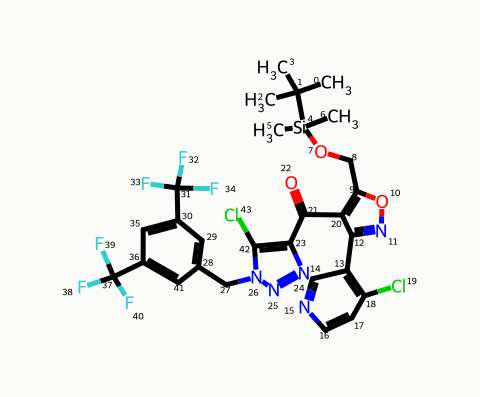 CC(C)(C)[Si](C)(C)OCc1onc(-c2cnccc2Cl)c1C(=O)c1nnn(Cc2cc(C(F)(F)F)cc(C(F)(F)F)c2)c1Cl